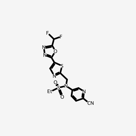 CCS(=O)(=O)N(Cc1ncc(-c2nnc(C(F)F)o2)s1)c1ccc(C#N)nc1